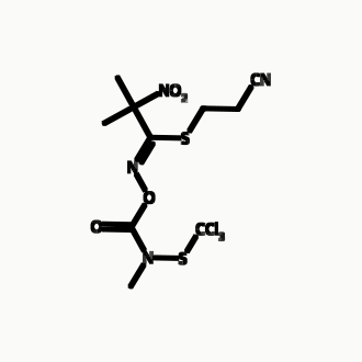 CN(SC(Cl)(Cl)Cl)C(=O)ON=C(SCCC#N)C(C)(C)[N+](=O)[O-]